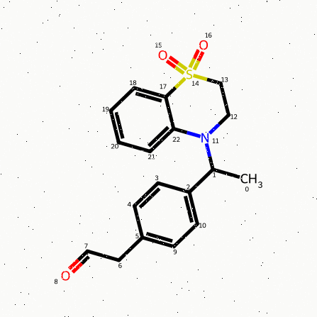 CC(c1ccc(C[C]=O)cc1)N1CCS(=O)(=O)c2ccccc21